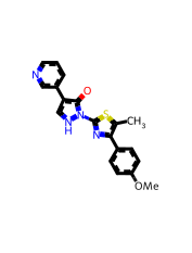 COc1ccc(-c2nc(-n3[nH]cc(-c4cccnc4)c3=O)sc2C)cc1